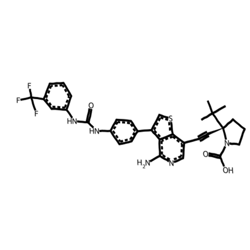 CC(C)(C)[C@]1(C#Cc2cnc(N)c3c(-c4ccc(NC(=O)Nc5cccc(C(F)(F)F)c5)cc4)csc23)CCCN1C(=O)O